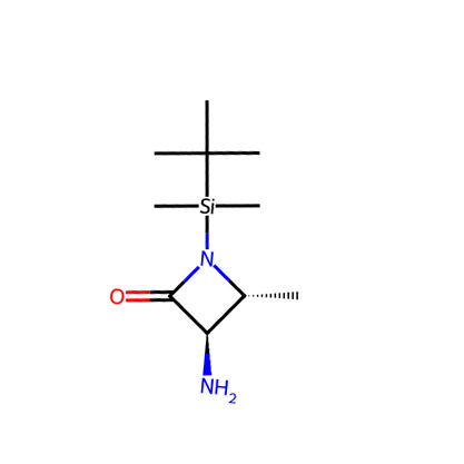 C[C@@H]1[C@@H](N)C(=O)N1[Si](C)(C)C(C)(C)C